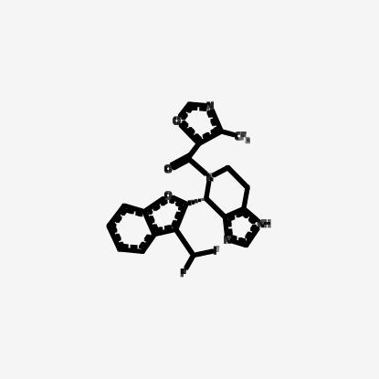 O=C(c1ocnc1C(F)(F)F)N1CCc2[nH]cnc2[C@@H]1c1oc2ccccc2c1C(F)F